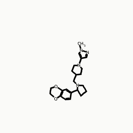 Cn1cc(N2CCC(CN3CCCC3c3ccc4c(c3)OCCO4)CC2)cn1